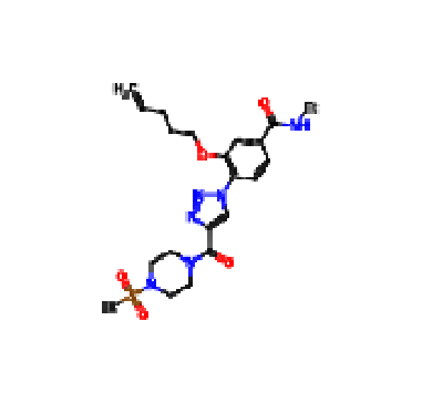 C=CCCCOc1cc(C(=O)NCC)ccc1-n1cc(C(=O)N2CCN(S(=O)(=O)CC)CC2)nn1